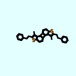 Cc1c(CCc2ccccc2)sc2ccc3c(c12)-c1ccc2sc(CCc4ccccc4)c(C)c2c1-3